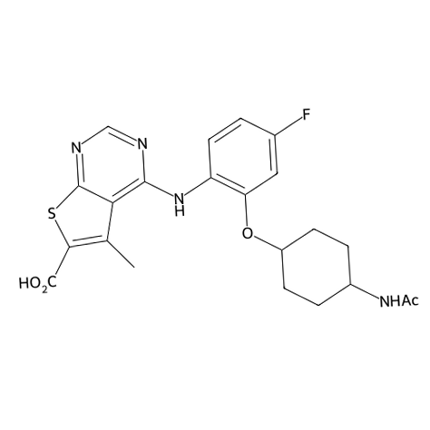 CC(=O)NC1CCC(Oc2cc(F)ccc2Nc2ncnc3sc(C(=O)O)c(C)c23)CC1